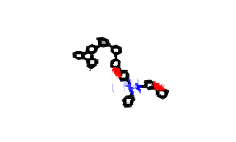 c1ccc(C2N=C(c3ccc4oc5ccccc5c4c3)N=C(c3ccc4c(c3)oc3ccc(-c5cccc(-c6cccc(-c7ccc8c9ccccc9c9ccccc9c8c7)c6)c5)cc34)N2)cc1